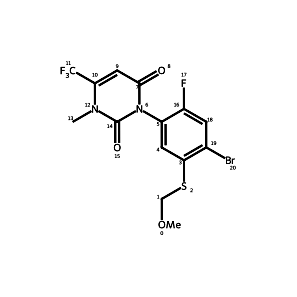 COCSc1cc(-n2c(=O)cc(C(F)(F)F)n(C)c2=O)c(F)cc1Br